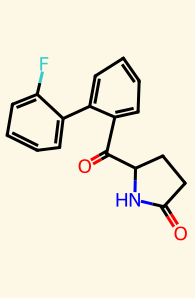 O=C1CCC(C(=O)c2ccccc2-c2ccccc2F)N1